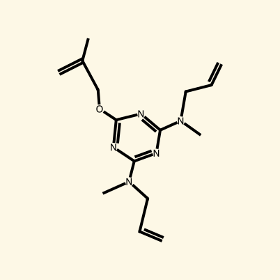 C=CCN(C)c1nc(OCC(=C)C)nc(N(C)CC=C)n1